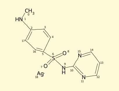 CNc1ccc(S(=O)(=O)Nc2ncccn2)cc1.[Ag]